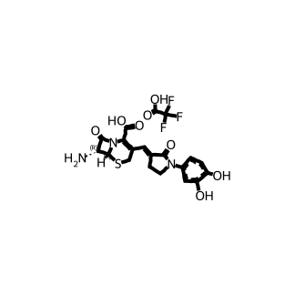 N[C@@H]1C(=O)N2C(C(=O)O)=C(C=C3CCN(c4ccc(O)c(O)c4)C3=O)CS[C@H]12.O=C(O)C(F)(F)F